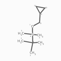 CC(C)(C)[Si](C)(C)OCC1CC1